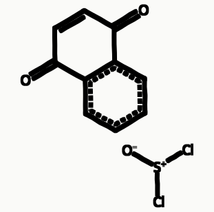 O=C1C=CC(=O)c2ccccc21.[O-][S+](Cl)Cl